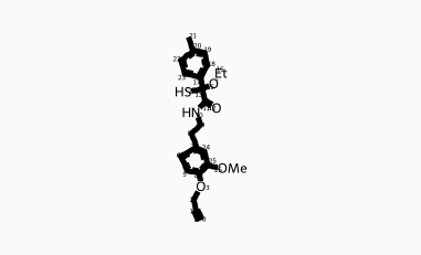 C#CCOc1ccc(CCNC(=O)C(S)(OCC)c2ccc(C)cc2)cc1OC